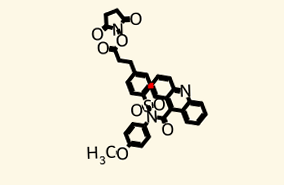 COc1ccc(N(C(=O)c2c3ccccc3nc3ccccc23)S(=O)(=O)c2ccc(CCC(=O)ON3C(=O)CCC3=O)cc2)cc1